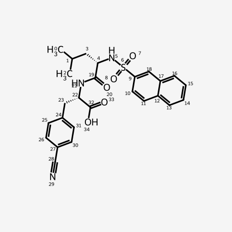 CC(C)C[C@H](NS(=O)(=O)c1ccc2ccccc2c1)C(=O)N[C@@H](Cc1ccc(C#N)cc1)C(=O)O